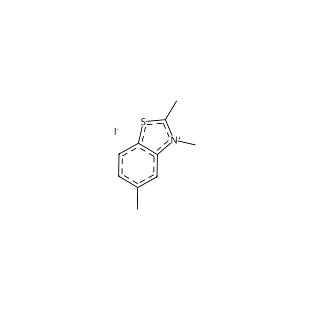 Cc1ccc2sc(C)[n+](C)c2c1.[I-]